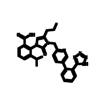 CCCc1cn(-c2c(C(=O)O)cccc2C(C)C)c(=O)n1Cc1ccc(-c2ccccc2-c2nnn[nH]2)cn1